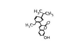 CCc1ccc(C(C)C)cc1-c1cc2ccc(O)cc2oc1=O